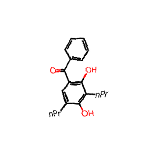 CCCc1cc(C(=O)c2ccccc2)c(O)c(CCC)c1O